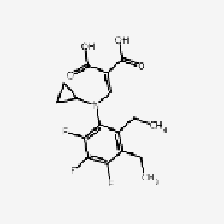 CCc1c(F)c(F)c(F)c(N(C=C(C(=O)O)C(=O)O)C2CC2)c1CC